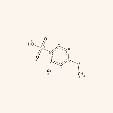 CCc1ccc(S(=O)(=O)O)cc1.[Zn]